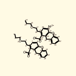 CCCOCCc1ccc2c(c1C(=O)[O-])Cc1ccccc1O2.CCCOCCc1ccc2c(c1C(=O)[O-])Cc1ccccc1O2.[Ni+2]